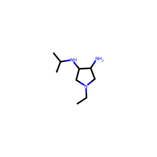 CCN1CC(N)C(NC(C)C)C1